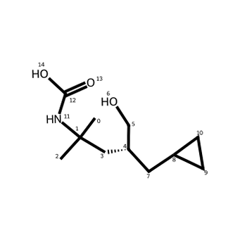 CC(C)(C[C@H](CO)CC1CC1)NC(=O)O